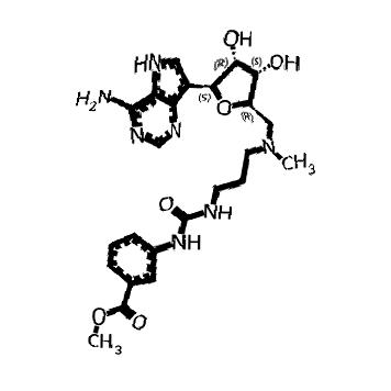 COC(=O)c1cccc(NC(=O)NCCCN(C)C[C@H]2O[C@@H](c3c[nH]c4c(N)ncnc34)[C@H](O)[C@@H]2O)c1